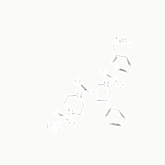 CS(=O)(=O)N1CCN(C(=O)[C@@H]2C[C@@H](c3ccccc3)CN(S(=O)(=O)c3cccc(CN)c3)C2)CC1